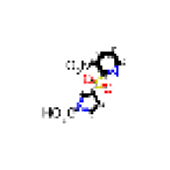 O=C(O)N1CC[C@@H](S(=O)(=O)c2ncccc2[N+](=O)[O-])C1